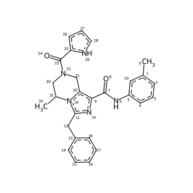 Cc1cccc(NC(=O)c2nc(Cc3ccccc3)n3c2CN(C(=O)c2ccc[nH]2)CC3C)c1